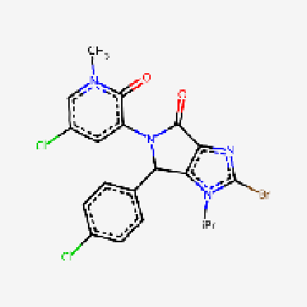 CC(C)n1c(Br)nc2c1C(c1ccc(Cl)cc1)N(c1cc(Cl)cn(C)c1=O)C2=O